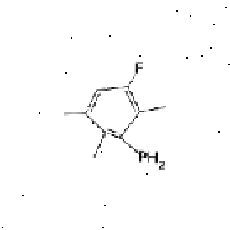 Cc1cc(F)c(C)c(P)c1C